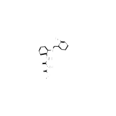 COC(=O)NC(=S)Nc1ccccc1N=Cc1ccccc1Br